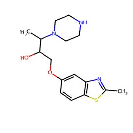 Cc1nc2cc(OCC(O)C(C)N3CCNCC3)ccc2s1